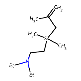 C=C(C)C[Si](C)(C)CCN(CC)CC